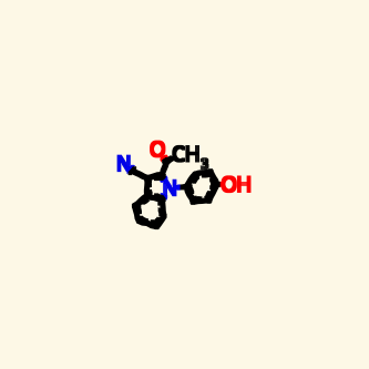 CC(=O)c1c(C#N)c2ccccc2n1-c1ccc(O)cc1